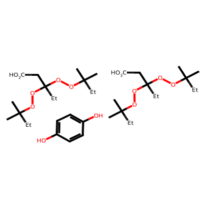 CCC(C)(C)OOC(CC)(CC(=O)O)OOC(C)(C)CC.CCC(C)(C)OOC(CC)(CC(=O)O)OOC(C)(C)CC.Oc1ccc(O)cc1